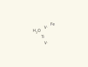 O.[Fe].[Ti].[V].[V]